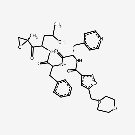 CC(C)CC(NC(=O)C(Cc1ccccc1)NC(=O)[C@H](Cc1ccncc1)NC(=O)c1cc(CN2CCOCC2)on1)C(=O)[C@@]1(C)CO1